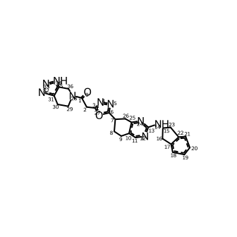 O=C(Cc1nnc(C2CCc3cnc(NC4Cc5ccccc5C4)nc3C2)o1)N1CCc2nn[nH]c2C1